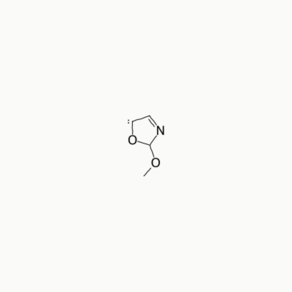 COC1N=C[C]O1